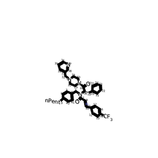 CCCCCc1ccc(CN(C(=O)/C=C/c2ccc(C(F)(F)F)cc2)[C@@H](Cc2ccccc2)C(=O)N2CCN(Cc3cccnc3)CC2)cc1